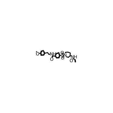 C=CC(=O)NC1CCCN(S(=O)(=O)c2ccc(C(=O)NCCc3ccc(OC)cc3)cc2)CC1